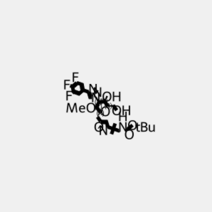 CO[C@@H]1[C@@H](n2cc(-c3cc(F)c(F)c(F)c3)nn2)[C@@H](O)[C@@H](CO)O[C@@H]1Cc1cc(C(C)(C)CNC(=O)OC(C)(C)C)no1